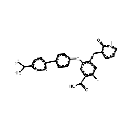 CC(C)c1ccc(-c2ccc(Oc3cc(C(=O)O)c(F)cc3Cc3ccc[nH]c3=O)cc2)nn1